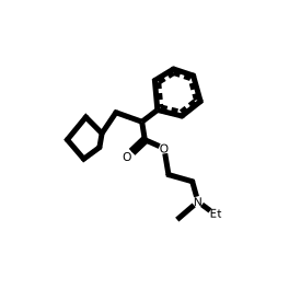 CCN(C)CCOC(=O)C(CC1CCCC1)c1ccccc1